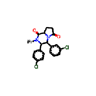 CC(C)N1C(=O)C2CCC(=O)N2C(c2cccc(Cl)c2)C1c1ccc(Cl)cc1